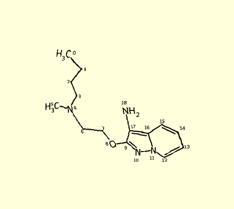 CCCCN(C)CCOc1nn2ccccc2c1N